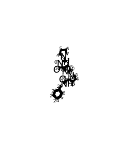 Cn1c(N2CCCC2)nc2sc(N3CCCC3C(=O)NCc3ccccc3)nc2c1=O